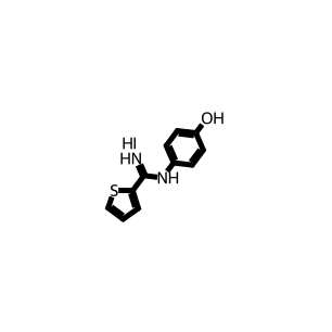 I.N=C(Nc1ccc(O)cc1)c1cccs1